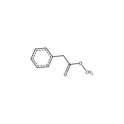 COC(=O)Cc1[c]cccc1